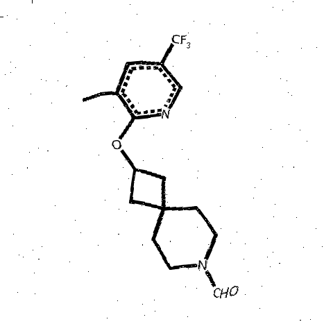 Cc1cc(C(F)(F)F)cnc1OC1CC2(CCN(C=O)CC2)C1